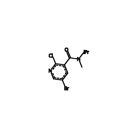 CC(C)N(C)C(=O)c1cc(Br)cnc1Cl